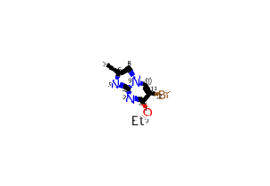 CCOc1nc2nc(C)cn2cc1Br